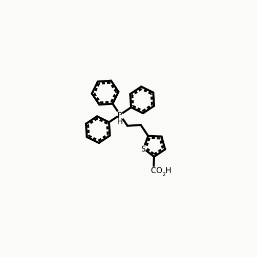 O=C(O)c1ccc(CC[PH](c2ccccc2)(c2ccccc2)c2ccccc2)s1